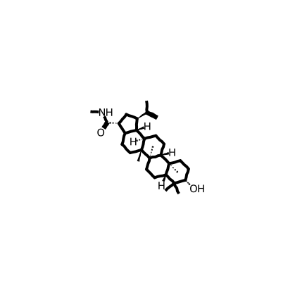 C=C(C)[C@@H]1C[C@@H](C(=O)NC)C2CC[C@]3(C)[C@H](CC[C@@H]4[C@@]5(C)CC[C@H](O)C(C)(C)[C@@H]5CC[C@]43C)[C@H]21